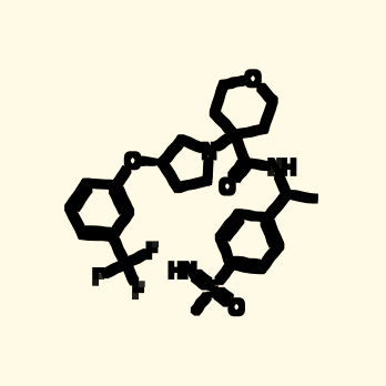 CC(NC(=O)C1(N2CC[C@@H](Oc3cccc(C(F)(F)F)c3)C2)CCOCC1)c1ccc(S(C)(=N)=O)cc1